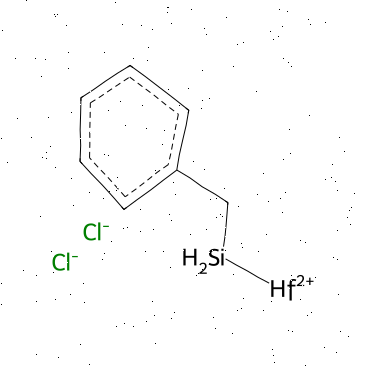 [Cl-].[Cl-].[Hf+2][SiH2]Cc1ccccc1